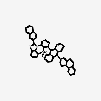 O=S1(=O)c2c(-c3c4ccccc4c(-c4ccc5c(ccc6ccccc65)c4)c4ccccc34)cccc2-n2c(-c3ccc4ccccc4c3)nc3cccc1c32